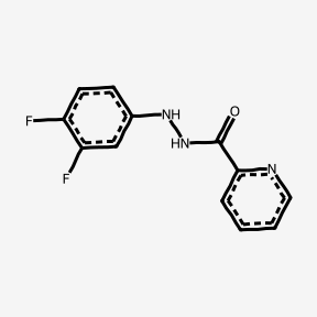 O=C(NNc1ccc(F)c(F)c1)c1ccccn1